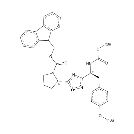 CCCCOc1ccc(C[C@H](NC(=O)OC(C)(C)C)c2noc([C@@H]3CCCN3C(=O)OCC3c4ccccc4-c4ccccc43)n2)cc1